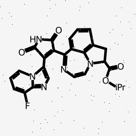 CC(C)OC(=O)C1Cc2cccc3c2N1C=CN=C3C1=C(c2cnc3c(F)cccn23)C(=O)NC1=O